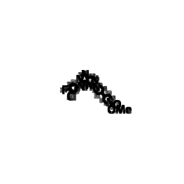 COC(=O)N1CCC(C2CCN(c3ncc4ncnc(Nc5ccc(F)c(Cl)c5)c4n3)CC2)CC1